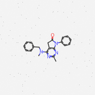 Cc1nc(N(C)Cc2ccccc2)c2c(n1)N(c1ccccc1)C(=O)C2